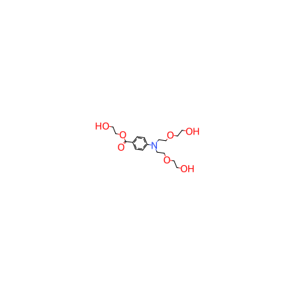 O=C(OCCO)c1ccc(N(CCOCCO)CCOCCO)cc1